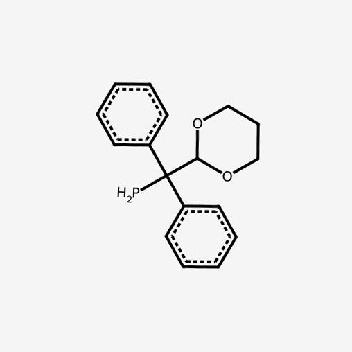 PC(c1ccccc1)(c1ccccc1)C1OCCCO1